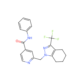 O=C(Nc1ccccc1)c1ccnc(Cn2nc(C(F)(F)F)c3c2CCCC3)c1